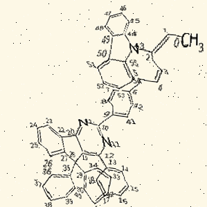 C/C=C(\C=C/Cc1ccc(-c2nc(-c3ccccc3)c3c(n2)-c2ccccc2C3(c2ccccc2)c2ccccc2)cc1)n1c2ccccc2c2ccccc21